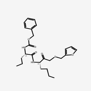 CCCC[C@H](NC(=O)[C@H](CCC)NC(=O)OCc1ccccc1)C(=O)CSCc1ccco1